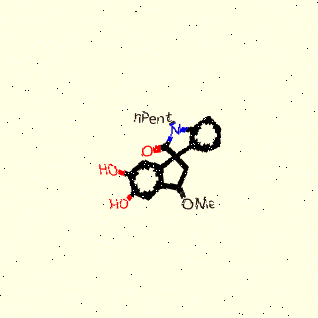 CCCCCN1C(=O)C2(CC(OC)c3cc(O)c(O)cc32)c2ccccc21